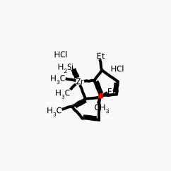 CCC1C=CC(C)=[C]1[Zr]([CH3])([CH3])(=[SiH2])[C]1=C(C)C=CC1CC.Cl.Cl